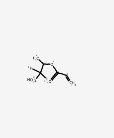 C=CC(=O)OC(C(F)(F)F)C(F)(F)S(=O)(=O)O